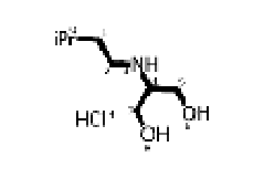 CC(C)CCNC(CO)CO.Cl